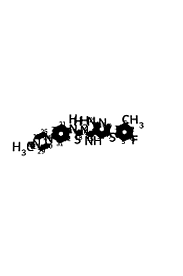 Cc1cc(F)cc(Sc2cnc(N)c(C(=N)NC(=S)Nc3ccc(N4CCN(C)CC4)cc3)c2)c1